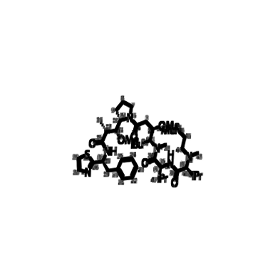 CC[C@H](C)[C@@H]([C@@H](CC(=O)N1CCC[C@H]1[C@H](OC)[C@@H](C)C(=O)N[C@@H](Cc1ccccc1)c1nccs1)OC)N(C)C(=O)[C@@H](NC(=O)[C@H](C(C)C)N(C)CCNC)C(C)C